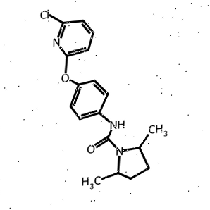 CC1CCC(C)N1C(=O)Nc1ccc(Oc2cccc(Cl)n2)cc1